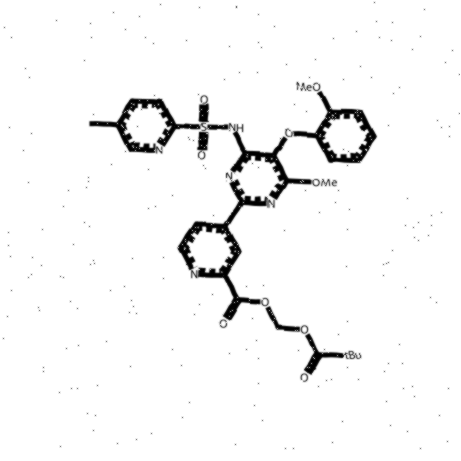 COc1ccccc1Oc1c(NS(=O)(=O)c2ccc(C)cn2)nc(-c2ccnc(C(=O)OCOC(=O)C(C)(C)C)c2)nc1OC